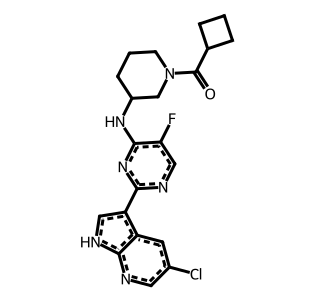 O=C(C1CCC1)N1CCCC(Nc2nc(-c3c[nH]c4ncc(Cl)cc34)ncc2F)C1